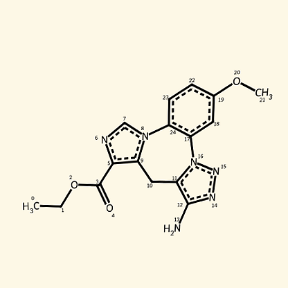 CCOC(=O)c1ncn2c1Cc1c(N)nnn1-c1cc(OC)ccc1-2